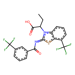 CCC(C(=O)O)n1c(=NC(=O)c2cccc(C(F)(F)F)c2)sc2c(C(F)(F)F)cccc21